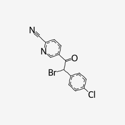 N#Cc1ccc(C(=O)C(Br)c2ccc(Cl)cc2)cn1